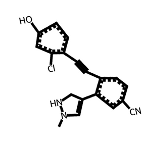 CN1C=C(c2cc(C#N)ccc2C#Cc2ccc(O)cc2Cl)CN1